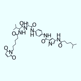 CC(C)CCCC(=O)Nc1cc(C(=O)Nc2ccc(NC(=O)[C@H](C)NC(=O)[C@@H](NC(=O)CCCCCN3C(=O)C=CC3=O)C(C)C)cc2)n(C)c1